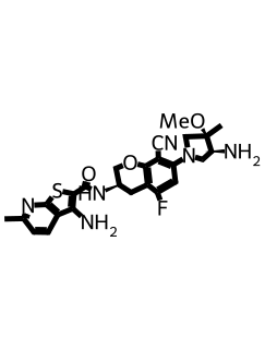 CO[C@]1(C)CN(c2cc(F)c3c(c2C#N)OC[C@H](NC(=O)c2sc4nc(C)ccc4c2N)C3)C[C@@H]1N